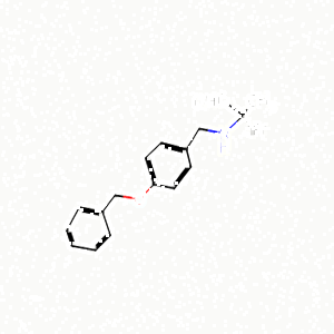 CC(C)[C@@](C)(C=O)NCc1ccc(OCc2ccccc2)cc1